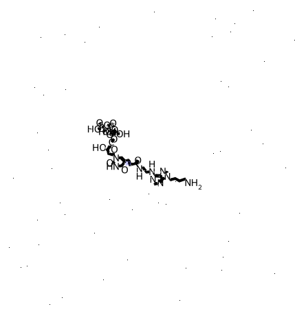 NCCCCn1cnc2c(NCCNC(=O)/C=C/c3cn(C4CC(O)C(COP(=O)(O)OP(=O)(O)OP(=O)(O)O)O4)c(=O)[nH]c3=O)ncnc21